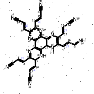 N#C/C=C/C1=NC2=C(NC1/C=C/C#N)C1NC(/C=C/C=N)=C(/C=C/C#N)N=C1c1nc(/C=C/C#N)c(/C=C/C#N)nc12